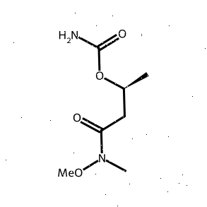 CON(C)C(=O)C[C@H](C)OC(N)=O